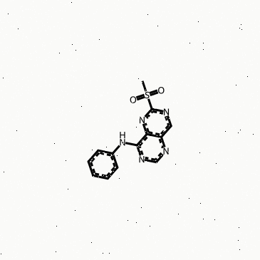 CS(=O)(=O)c1ncc2ncnc(Nc3ccccc3)c2n1